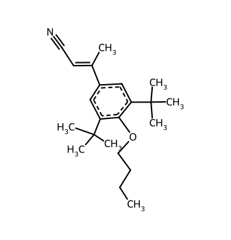 CCCCOc1c(C(C)(C)C)cc(C(C)=CC#N)cc1C(C)(C)C